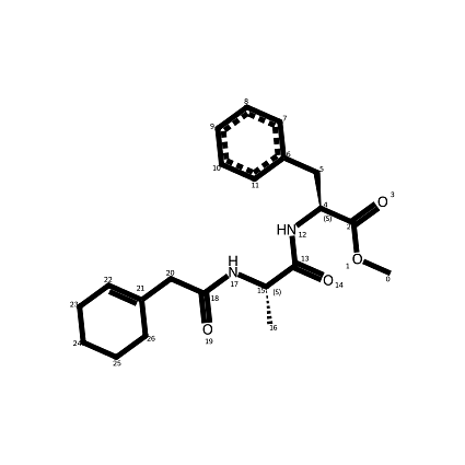 COC(=O)[C@H](Cc1ccccc1)NC(=O)[C@H](C)NC(=O)CC1=CCCCC1